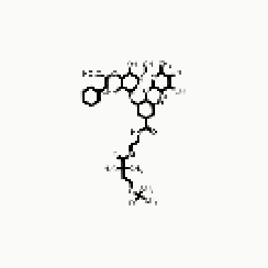 CC[C@@H]1CC(C(=O)NCCNC(=O)C(C)(C)CCOC(C)(C)CC)CC(O[C@@H]2O[C@@H](CO)C(O)C(O[C@@H](CC3CCCCC3)C(=O)O)C2NC(C)=O)C1OC1OC(C)C(O)C(O)C1O